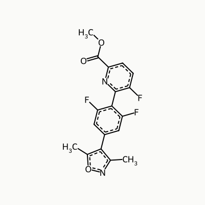 COC(=O)c1ccc(F)c(-c2c(F)cc(-c3c(C)noc3C)cc2F)n1